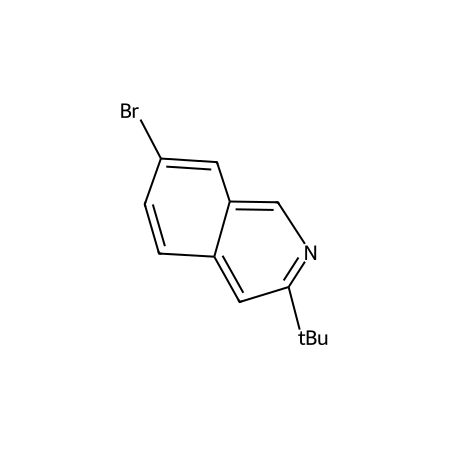 CC(C)(C)c1cc2ccc(Br)cc2cn1